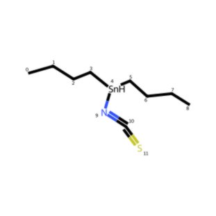 CCC[CH2][SnH]([CH2]CCC)[N]=C=S